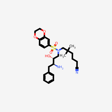 CC(C)(CCCC#N)CN(C[C@@H](O)[C@@H](N)Cc1ccccc1)S(=O)(=O)c1ccc2c(c1)OCCO2